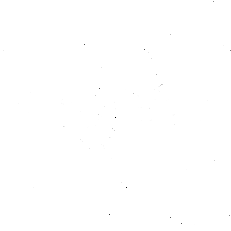 C[C@H](Oc1ccc(-c2cc3c(C4=CCNCC4)ncnc3[nH]2)cc1)c1ccccc1